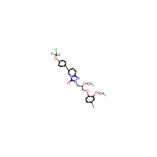 COc1cc(F)ccc1OCC(Cn1nc2ccc(-c3ccc(OC(F)(F)F)cc3)cn2c1=O)OC